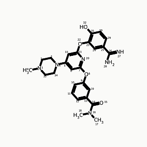 CN1CCN(c2cc(Oc3cccc(C(=O)N(C)C)c3)nc(Oc3cc(C(=N)N)ccc3O)c2)CC1